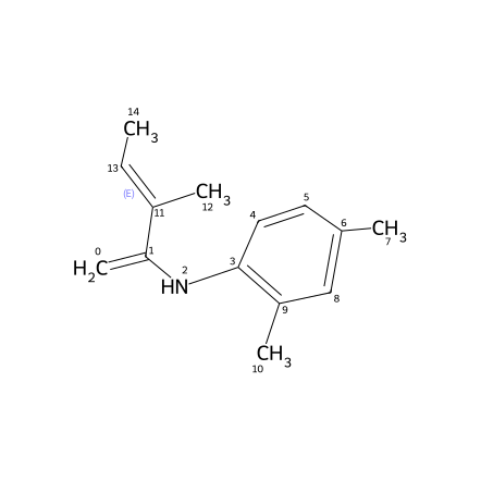 C=C(Nc1ccc(C)cc1C)/C(C)=C/C